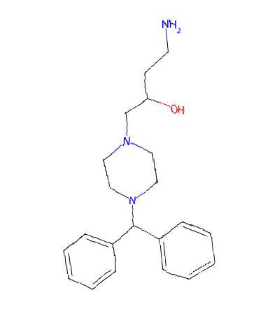 NCCC(O)CN1CCN(C(c2ccccc2)c2ccccc2)CC1